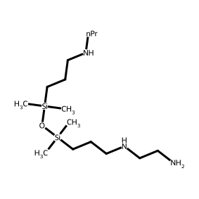 CCCNCCC[Si](C)(C)O[Si](C)(C)CCCNCCN